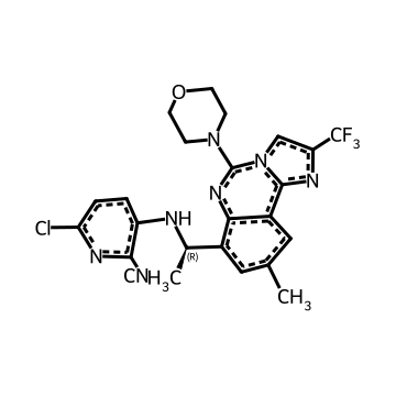 Cc1cc([C@@H](C)Nc2ccc(Cl)nc2C#N)c2nc(N3CCOCC3)n3cc(C(F)(F)F)nc3c2c1